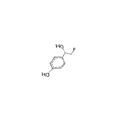 Oc1ccc(C(O)CF)cc1